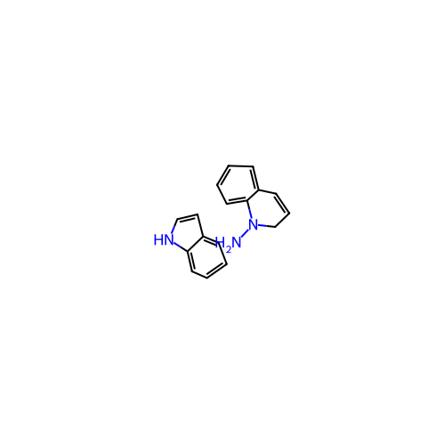 NN1CC=Cc2ccccc21.c1ccc2[nH]ccc2c1